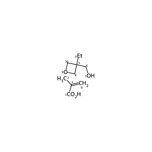 C=C(C)C(=O)O.CCC1(CO)COC1